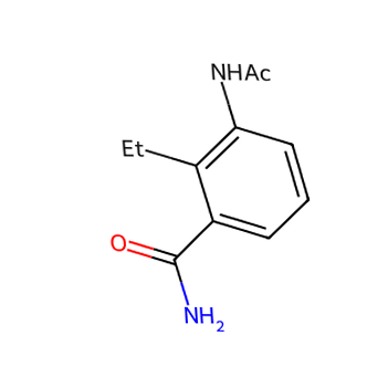 CCc1c(NC(C)=O)cccc1C(N)=O